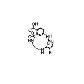 O=C(O)c1ccc2cc1S(=O)(=O)NCCCNc1nc(ncc1Br)N2